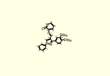 COc1ccc(-c2nn(-c3ccccc3)cc2/C=N/c2cccnc2Cl)cc1OC